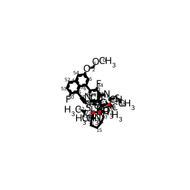 COCOc1cc(-c2ncc3c(N4CC5CCC(C4)N5C(=O)OC(C)(C)C)nc(SC)nc3c2F)c2c(C#C[Si](C(C)C)(C(C)C)C(C)C)c(F)ccc2c1